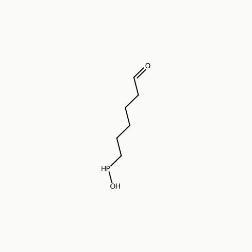 O=CCCCCCPO